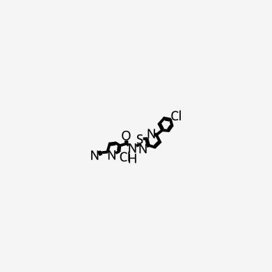 N#Cc1ccc(C(=O)Nc2nc3ccc(-c4ccc(Cl)cc4)nc3s2)c(Cl)n1